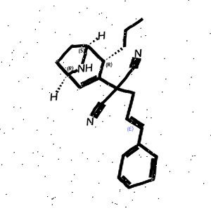 CCC[C@@H]1C(C(C#N)(C#N)C/C=C/c2ccccc2)=C[C@H]2CC[C@@H]1N2